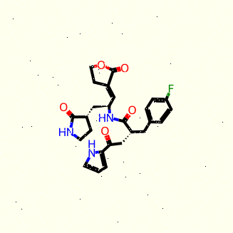 O=C1OCCC1=C[C@H](C[C@@H]1CCNC1=O)NC(=O)[C@@H](CC(=O)c1ccc[nH]1)Cc1ccc(F)cc1